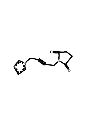 O=C1CCC(=O)N1CC#CCn1ccnc1